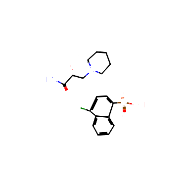 C[C@@H]1CCC[C@H](C)N1C[C@@H](O)C(N)=O.O=S(=O)(O)c1ccc(F)c2ccccc12